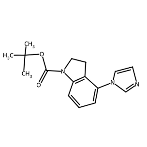 CC(C)(C)OC(=O)N1CCc2c1cccc2-n1ccnc1